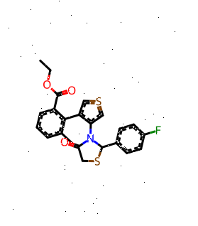 CCOC(=O)c1cccc(C)c1-c1cscc1N1C(=O)CSC1c1ccc(F)cc1